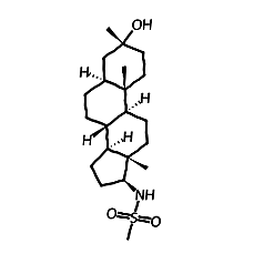 C[C@@]1(O)CC[C@@]2(C)[C@@H](CC[C@@H]3[C@@H]2CC[C@]2(C)[C@@H](NS(C)(=O)=O)CC[C@@H]32)C1